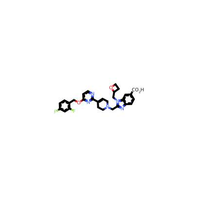 O=C(O)c1ccc2nc(CN3CC=C(c4nccc(OCc5ccc(F)cc5F)n4)CC3)n(CC3CCO3)c2c1